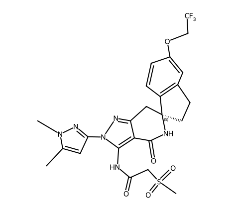 Cc1cc(-n2nc3c(c2NC(=O)CS(C)(=O)=O)C(=O)N[C@@]2(CCc4cc(OCC(F)(F)F)ccc42)C3)nn1C